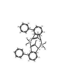 CC1=C2c3c(-c4ccccc4)cccc3[CH]1[Zr]([CH3])([CH3])[CH]1C(C)=C(c3c(-c4ccccc4)cccc31)[Si]2(C)C